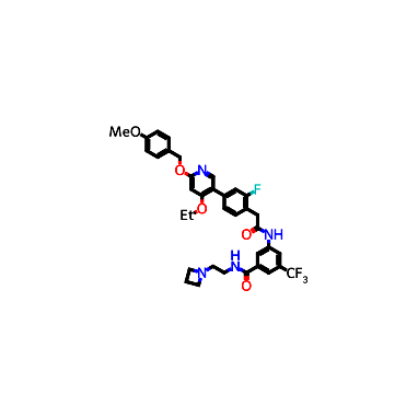 CCOc1cc(OCc2ccc(OC)cc2)ncc1-c1ccc(CC(=O)Nc2cc(C(=O)NCCN3CCC3)cc(C(F)(F)F)c2)c(F)c1